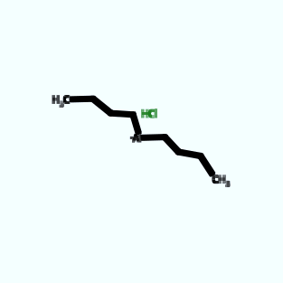 CCC[CH2][Al][CH2]CCC.Cl